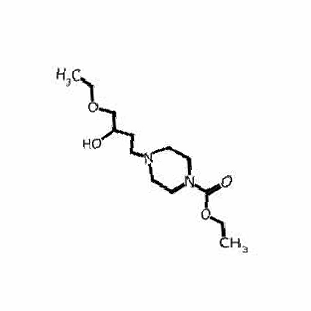 CCOCC(O)CCN1CCN(C(=O)OCC)CC1